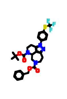 CC(C)(C)OC(=O)N1CCc2c3c(nn2-c2ccc(SC(F)(F)F)cc2)CCN(C(=O)OCc2ccccc2)CC31